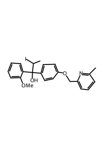 COc1ccccc1C(O)(c1ccc(OCc2cccc(C)n2)cc1)C(C)I